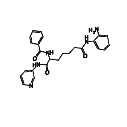 Nc1ccccc1NC(=O)CCCCC(NC(=O)c1ccccc1)C(=O)Nc1cccnc1